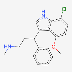 CNCCC(c1ccccc1)c1c[nH]c2c(Cl)ccc(OC)c12